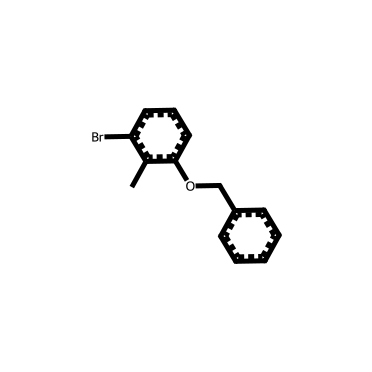 Cc1c(Br)cccc1OCc1ccccc1